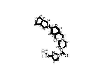 CCNc1ccn(C(=O)N2CCN(Cc3ccc(N4CC5COCC5C4)cc3C(F)(F)F)CC2)n1